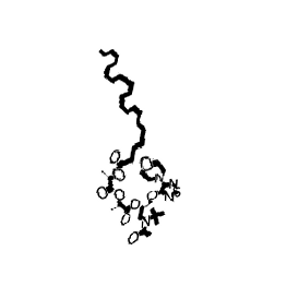 CC/C=C\C/C=C\C/C=C\C/C=C\C/C=C\C/C=C\CCC(=O)O[C@@H](C)C(=O)O[C@@H](C)C(=O)O[C@H](COc1nsnc1N1CCOCC1)CN(C(C)=O)C(C)(C)C